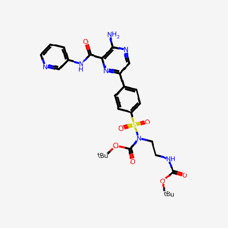 CC(C)(C)OC(=O)NCCN(C(=O)OC(C)(C)C)S(=O)(=O)c1ccc(-c2cnc(N)c(C(=O)Nc3cccnc3)n2)cc1